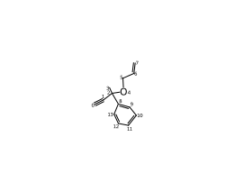 C#CC(C)(OCC=C)c1ccccc1